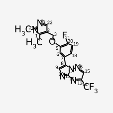 Cc1c(COc2cc(-c3cnc4nc(C(F)(F)F)cnn34)ccc2F)cnn1C